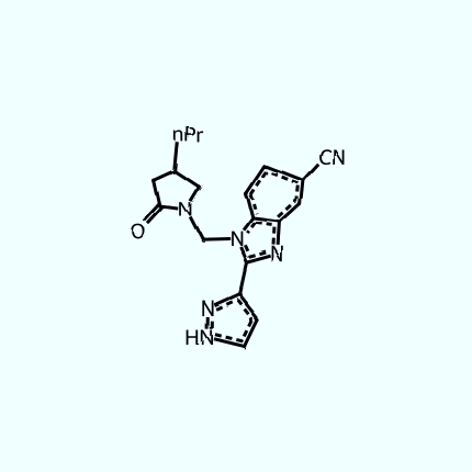 CCCC1CC(=O)N(Cn2c(-c3cc[nH]n3)nc3cc(C#N)ccc32)C1